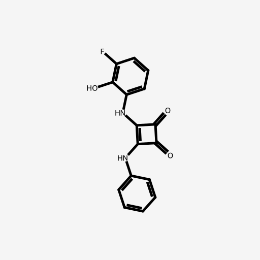 O=c1c(Nc2ccccc2)c(Nc2cccc(F)c2O)c1=O